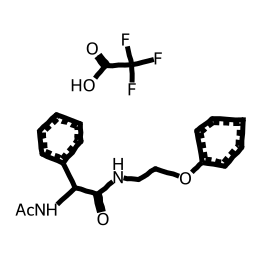 CC(=O)NC(C(=O)NCCOc1ccccc1)c1ccccc1.O=C(O)C(F)(F)F